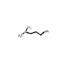 CCCCCC[S+](C)C